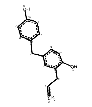 C=CCc1cc(Cc2ccc(O)cc2)ccc1O